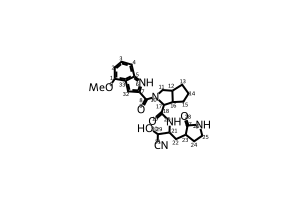 COc1cccc2[nH]c(C(=O)N3CC4CCCC4C3C(=O)NC(CC3CCNC3=O)C(O)C#N)cc12